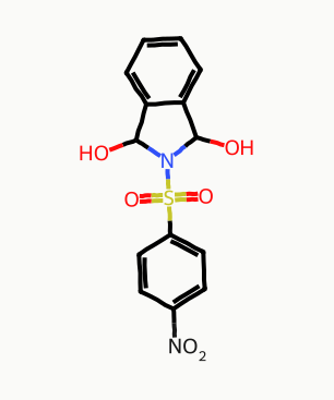 O=[N+]([O-])c1ccc(S(=O)(=O)N2C(O)c3ccccc3C2O)cc1